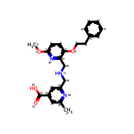 COc1ccc(OCCc2ccccc2)c(CNCc2cc(C(=O)O)cc(C)n2)n1